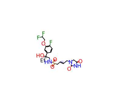 CC[C@@](O)(CNS(=O)(=O)C/C=C/CN1CC(=O)NC1=O)c1ccc(F)c(OCC(F)F)c1